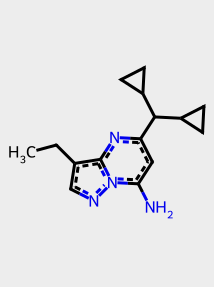 CCc1cnn2c(N)cc(C(C3CC3)C3CC3)nc12